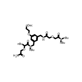 CCCCCCCCCCCCOc1cc(CNC(=O)COCC(=O)N(CCCC)CCCC)cc(CN(CCCC)C(=O)C(CCCC)OCC(N)=O)c1